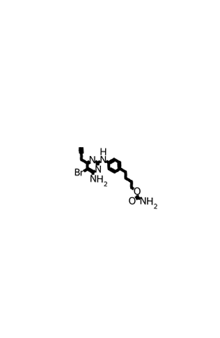 C#CCc1nc(Nc2ccc(CCCCOC(N)=O)cc2)nc(N)c1Br